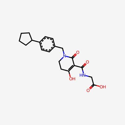 O=C(O)CNC(=O)C1=C(O)CCN(Cc2ccc(C3CCCC3)cc2)C1=O